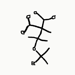 CCC(C)(C)OC(C)(C)C(C)(C(Cl)Cl)C(Cl)Cl